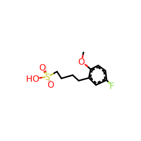 COc1ccc(F)cc1CCCCS(=O)(=O)O